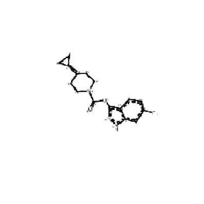 O=C(Oc1n[nH]c2cc(F)ccc12)N1CCC(=C2CC2)CC1